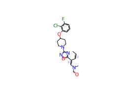 C/C=C\C(=C/N(C)C=O)c1nc(N2CCC(Oc3cccc(F)c3Cl)CC2)no1